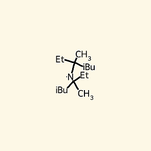 CCC(C)C(C)(CC)[N]C(C)(CC)C(C)CC